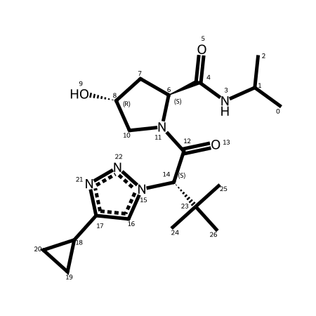 CC(C)NC(=O)[C@@H]1C[C@@H](O)CN1C(=O)[C@@H](n1cc(C2CC2)nn1)C(C)(C)C